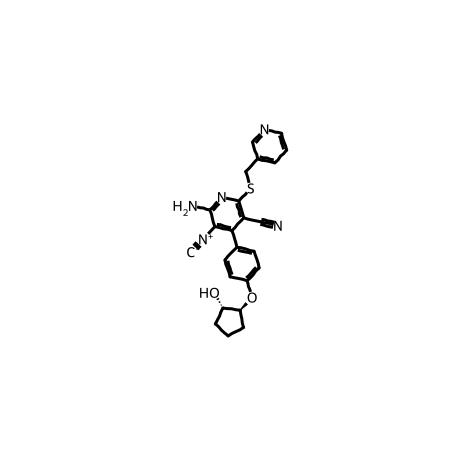 [C-]#[N+]c1c(N)nc(SCc2cccnc2)c(C#N)c1-c1ccc(O[C@H]2CCC[C@@H]2O)cc1